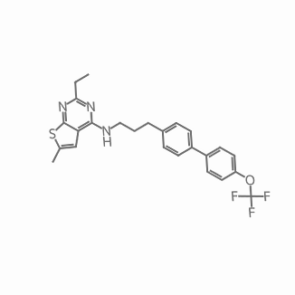 CCc1nc(NCCCc2ccc(-c3ccc(OC(F)(F)F)cc3)cc2)c2cc(C)sc2n1